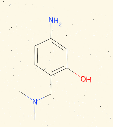 CN(C)Cc1ccc(N)cc1O